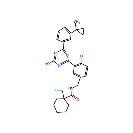 CC1(c2cccc(-c3nc(O)nc(-c4cc(CNC(=O)C5(CF)CCCCC5)ccc4Cl)n3)c2)CC1